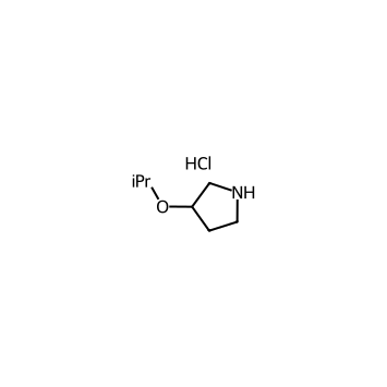 CC(C)OC1CCNC1.Cl